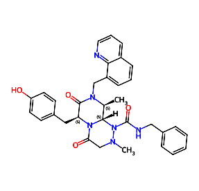 C[C@H]1[C@H]2N(C(=O)CN(C)N2C(=O)NCc2ccccc2)[C@@H](Cc2ccc(O)cc2)C(=O)N1Cc1cccc2cccnc12